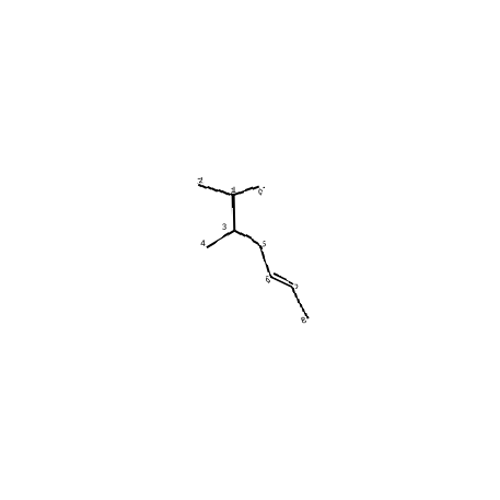 [CH2]C(C)C(C)CC=CC